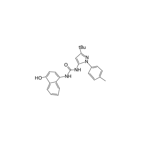 Cc1ccc(-n2nc(C(C)(C)C)cc2NC(=O)Nc2ccc(O)c3ccccc23)cc1